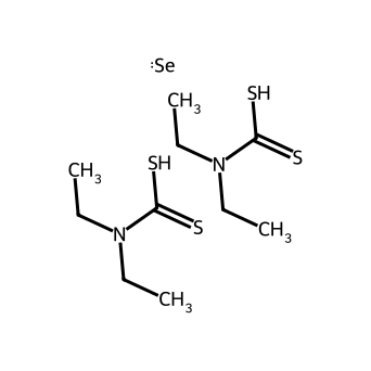 CCN(CC)C(=S)S.CCN(CC)C(=S)S.[Se]